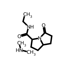 CCNC(=O)C1CCC2CCC(=O)N21.CNC